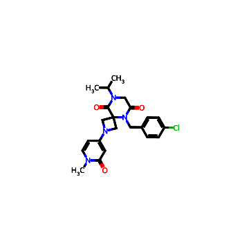 CC(C)N1CC(=O)N(Cc2ccc(Cl)cc2)C2(CN(c3ccn(C)c(=O)c3)C2)C1=O